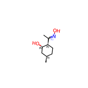 C/C(=N\O)[C@H]1CC[C@@H](C)C[C@H]1O